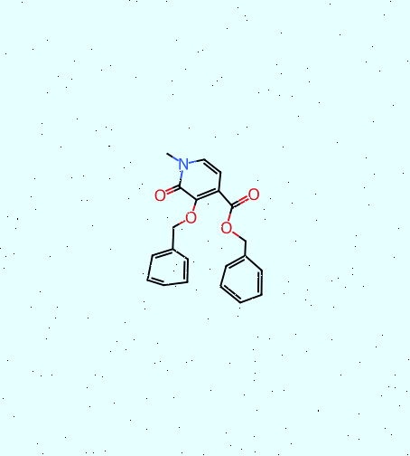 Cn1ccc(C(=O)OCc2ccccc2)c(OCc2ccccc2)c1=O